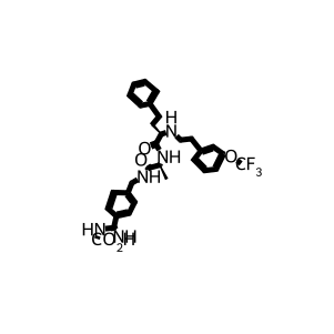 C[C@H](NC(=O)[C@@H](CCc1ccccc1)NCCc1cccc(OC(F)(F)F)c1)C(=O)NCc1ccc(C(=N)NC(=O)O)cc1